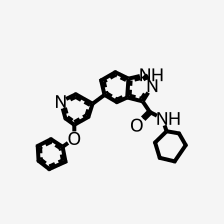 O=C(NC1CCCCC1)c1n[nH]c2ccc(-c3cncc(Oc4ccccc4)c3)cc12